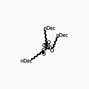 CCCCCCCCCCCCCCCC=CC(=O)OCC(CO)(COC(=O)C=CCCCCCCCCCCCCCCC)COC(=O)C=CCCCCCCCCCCCCCCC